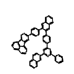 c1ccc(-c2nc(-c3ccc(-c4cc5ccccc5cc4-c4ccc(-c5ccc6c(c5)-c5cccc7cccc-6c57)cc4)cc3)cc(-c3ccc4ccccc4c3)n2)cc1